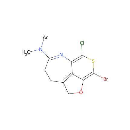 CC(=O)N(C)C1=NC2=C(Cl)SC(Br)=C3OCC(=C23)CC1